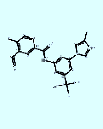 Cc1cn(-c2cc(NC(=O)c3ccc(C)c(C=O)c3)cc(C(F)(F)F)c2)cn1